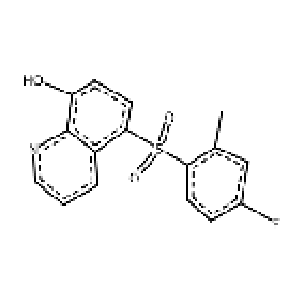 Cc1cc(F)ccc1S(=O)(=O)c1ccc(O)c2ncccc12